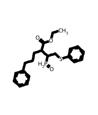 CCOC(=O)C(CCCc1ccccc1)C(CSc1ccccc1)[PH2]=O